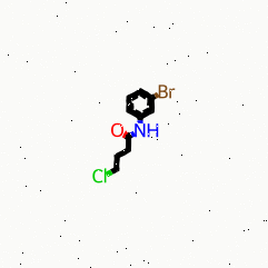 O=C(CCCCl)Nc1cccc(Br)c1